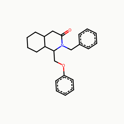 O=C1CC2CCCCC2C(COc2ccccc2)N1Cc1ccccc1